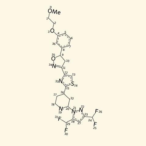 COCCOc1cccc(C2CC(c3csc(C4CC[N]C(n5nc(C(F)F)cc5C(F)F)C4)n3)=NO2)c1